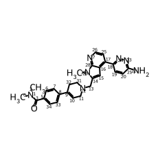 CN(C)C(=O)c1ccc(C2=CCN(Cc3cc4c(-c5ccc(N)nn5)ccnc4n3C)CC2)cc1